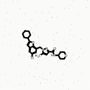 Cc1cc(C(=O)NC2CCOCC2)nn1Cc1cc(Cl)cc2cc(C3CCCCC3)oc12